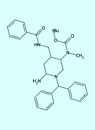 CN(C(=O)OC(C)(C)C)C1CN(C(c2ccccc2)c2ccccc2)C(N)CC1CNC(=O)c1ccccc1